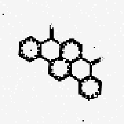 O=C1c2ccccc2-c2ccc3c4c(ccc1c24)C(=O)c1ccccc1-3